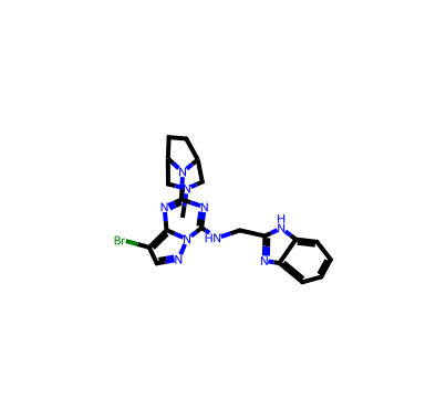 CN1CC2CCC(C1)N2c1nc(NCc2nc3ccccc3[nH]2)n2ncc(Br)c2n1